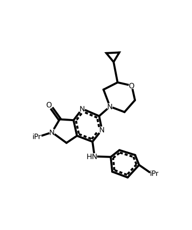 CC(C)c1ccc(Nc2nc(N3CCOC(C4CC4)C3)nc3c2CN(C(C)C)C3=O)cc1